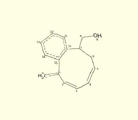 C=C1/C=C\C=C/CC(CO)c2ccccc21